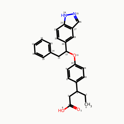 CCC(CC(=O)O)c1ccc(OC(Cc2ccccc2)c2ccc3[nH]ncc3c2)cc1